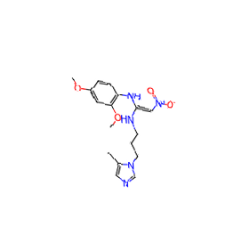 COc1ccc(N/C(=C\[N+](=O)[O-])NCCCn2cncc2C)c(OC)c1